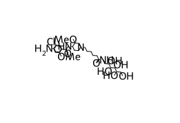 COc1cc(N)c(Cl)cc1C(=O)N[C@@H]1CCN(CCCCCC(=O)NC[C@H](O)[C@@H](O)[C@H](O)[C@H](O)CO)C[C@@H]1OC